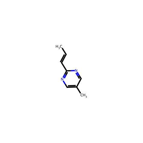 CC=Cc1ncc(C)cn1